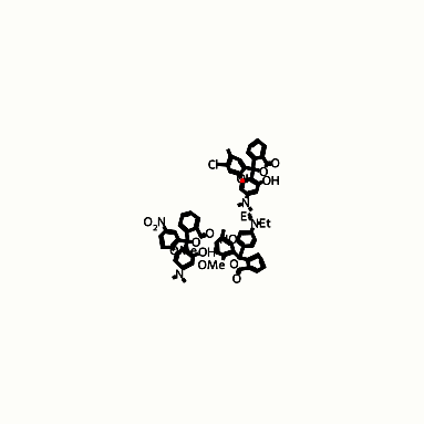 CCN(CC)c1ccc(C2(c3cc(C)ccc3OC)OC(=O)c3ccccc32)c(O)c1.COc1ccc([N+](=O)[O-])cc1C1(c2ccc(N(C)C)cc2O)OC(=O)c2ccccc21.Cc1cc(C2(c3ccc(N(C)C)cc3O)OC(=O)c3ccccc32)c(O)cc1Cl